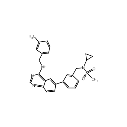 Cc1cccc(CNc2ncnc3ccc(-c4cccc(CN(C5CC5)S(C)(=O)=O)c4)cc23)c1